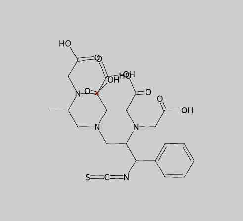 CC(CN(CC(=O)O)CC(C(N=C=S)c1ccccc1)N(CC(=O)O)CC(=O)O)N(CC(=O)O)CC(=O)O